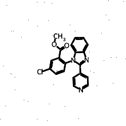 COC(=O)c1cc(Cl)ccc1-n1c(-c2ccncc2)nc2ccccc21